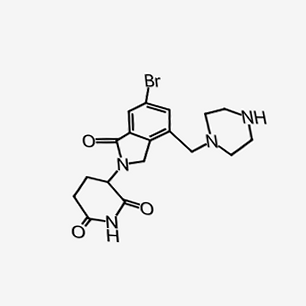 O=C1CCC(N2Cc3c(CN4CCNCC4)cc(Br)cc3C2=O)C(=O)N1